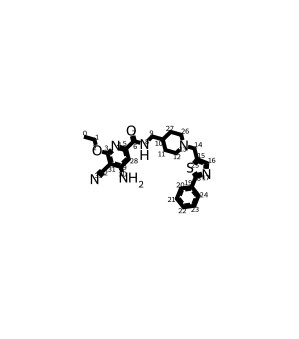 CCOc1nc(C(=O)NCC2CCN(Cc3cnc(-c4ccccc4)s3)CC2)cc(N)c1C#N